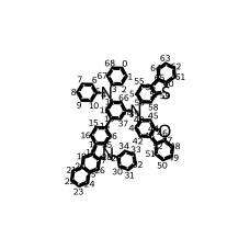 c1ccc(N(c2ccccc2)c2cc(-c3ccc4c5cc6ccccc6cc5n(-c5ccccc5)c4c3)cc(N(c3ccc4c(c3)oc3ccccc34)c3ccc4c(c3)sc3ccccc34)c2)cc1